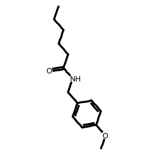 CCCCCC(=O)NCc1ccc(OC)cc1